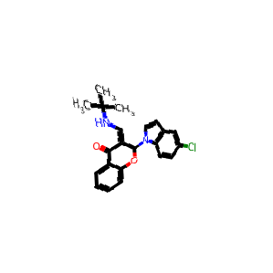 CC(C)(C)N/C=C1\C(=O)c2ccccc2OC1n1ccc2cc(Cl)ccc21